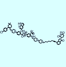 CC1(C)CCC(CN2CCN(c3ccc(C(=O)NS(=O)(=O)c4ccc(NCC5CCN(C6CCN(CCCCCCC#Cc7cccc8c7CN(C7CCC(=O)NC7=O)C8=O)CC6)CC5)c([N+](=O)[O-])c4)c(Oc4cnc5[nH]ccc5c4)c3)CC2)=C(c2ccc(Cl)cc2)C1